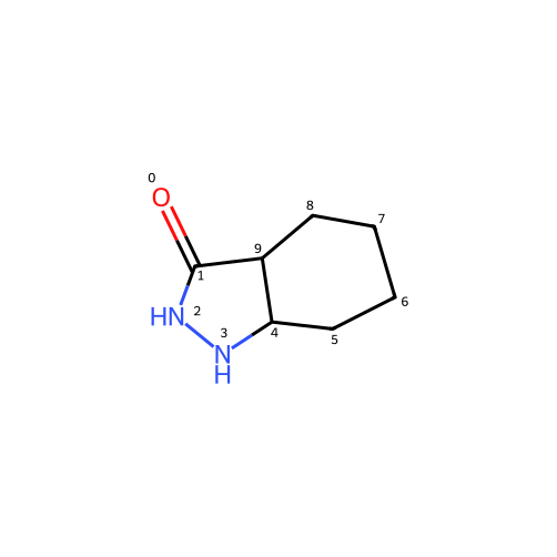 O=C1NNC2CCCCC12